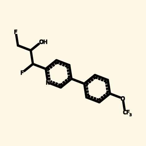 OC(CF)C(F)c1ccc(-c2ccc(OC(F)(F)F)cc2)cn1